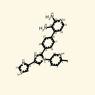 Cc1ccc(-n2cc(-c3cscn3)nc2-c2ccc(-c3ccnc(N)c3N)cc2)cn1